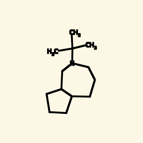 CC(C)(C)N1CCCC2CCCC2C1